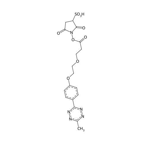 Cc1nnc(-c2ccc(OCCOCCC(=O)ON3C(=O)CC(S(=O)(=O)O)C3=O)cc2)nn1